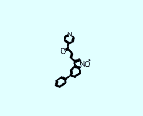 COn1cc(C=CC(=O)c2ccncc2)c2cc(-c3ccccc3)ccc21